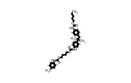 CCCCCOC(=O)Nc1ccc(CC(C)(C)c2ccc(NC(=O)OCCCCOC(=O)Nc3ccc(C)cc3)cc2)cc1